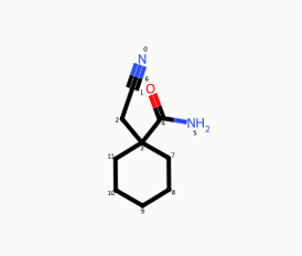 N#C[CH]C1(C(N)=O)CCCCC1